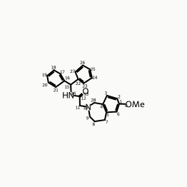 COc1ccc2c(c1)CCCN(CC(=O)NC(c1ccccc1)c1ccccc1)C2